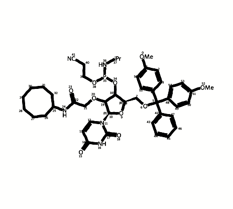 COc1ccc(C(OC[C@H]2O[C@@H](n3ccc(=O)[nH]c3=O)C(OCC(=O)NC3CCCCCCC3)C2OP(NC(C)C)OCCC#N)(c2ccccc2)c2ccc(OC)cc2)cc1